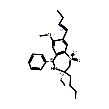 CC/C=C/c1cc2c(cc1OC)[C@@H](c1ccccc1)N[C@](CC)(CCCC)CS2(=O)=O